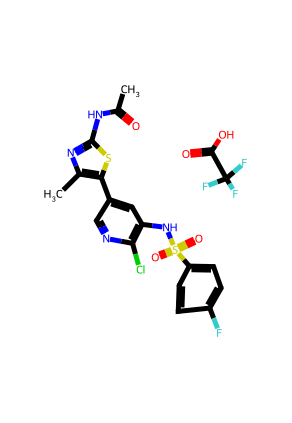 CC(=O)Nc1nc(C)c(-c2cnc(Cl)c(NS(=O)(=O)c3ccc(F)cc3)c2)s1.O=C(O)C(F)(F)F